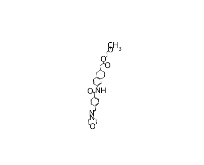 COCCOC(=O)CC1CCc2cc(NC(=O)c3ccc(/C=N/N4CCOCC4)cc3)ccc2C1